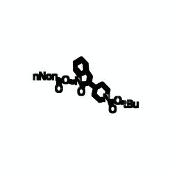 CCCCCCCCCC(=O)OCn1c(=O)c(C2CCN(C(=O)OC(C)(C)C)CC2)cc2ccccc21